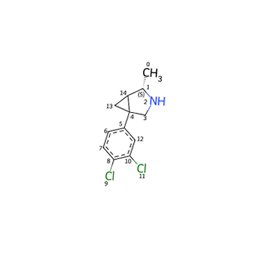 C[C@@H]1NCC2(c3ccc(Cl)c(Cl)c3)CC12